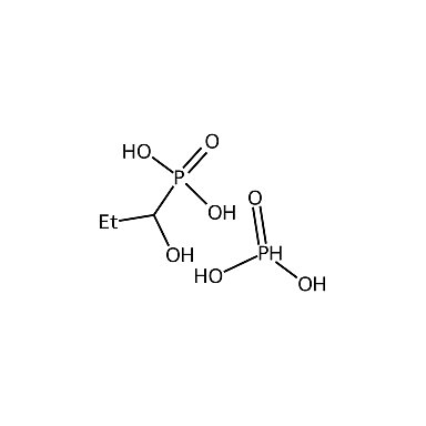 CCC(O)P(=O)(O)O.O=[PH](O)O